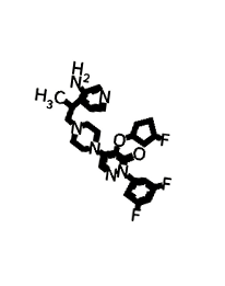 CC(CN1CCN(c2cnn(-c3cc(F)cc(F)c3)c(=O)c2OC2CCC(F)C2)CC1)c1ccncc1N